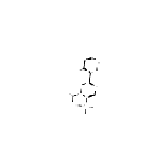 CCC(CC)c1cc(-c2ccc(C)cc2C)[n+](C)cc1[Si](C)(C)C